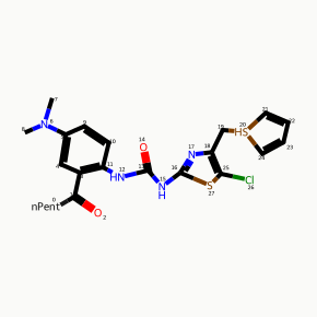 CCCCCC(=O)c1cc(N(C)C)ccc1NC(=O)Nc1nc(C[SH]2C=CC=C2)c(Cl)s1